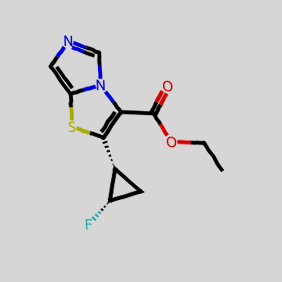 CCOC(=O)c1c([C@@H]2C[C@@H]2F)sc2cncn12